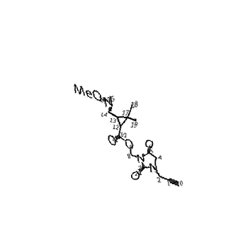 C#CCN1CC(=O)N(COC(=O)C2C(C=NOC)C2(C)C)C1=O